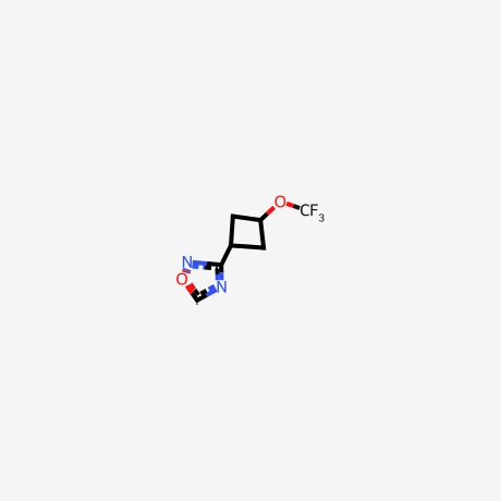 FC(F)(F)OC1CC(c2n[c]on2)C1